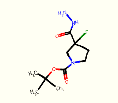 CC(C)(C)OC(=O)N1CCC(F)(C(=O)NN)C1